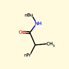 CCCCNC(=O)C(C)CCC